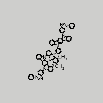 Cc1cc(C)c(B(c2cccc(-n3c4ccccc4c4cc5c(cc43)c3ccccc3n5-c3ccc4c(c3)ncn4-c3ccccc3)c2)c2cccc(-n3c4ccccc4c4cc5c(cc43)c3ccccc3n5-c3ccc4ncn(-c5ccccc5)c4c3)c2)c(C)c1